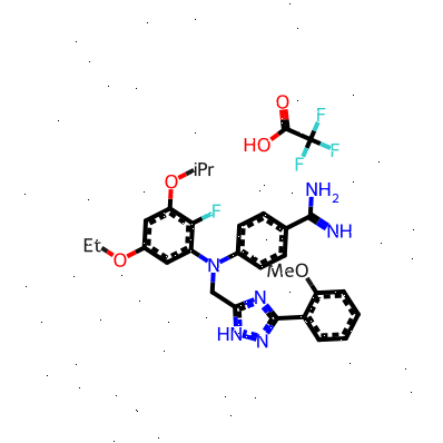 CCOc1cc(OC(C)C)c(F)c(N(Cc2nc(-c3ccccc3OC)n[nH]2)c2ccc(C(=N)N)cc2)c1.O=C(O)C(F)(F)F